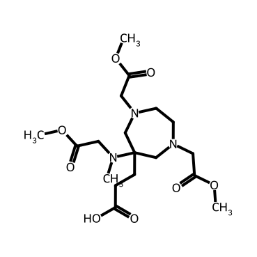 COC(=O)CN1CCN(CC(=O)OC)CC(CCC(=O)O)(N(C)CC(=O)OC)C1